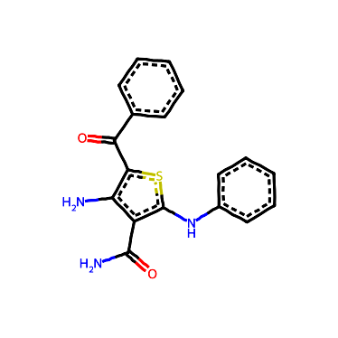 NC(=O)c1c(Nc2ccccc2)sc(C(=O)c2ccccc2)c1N